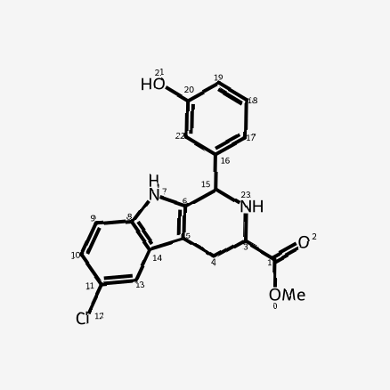 COC(=O)C1Cc2c([nH]c3ccc(Cl)cc23)C(c2cccc(O)c2)N1